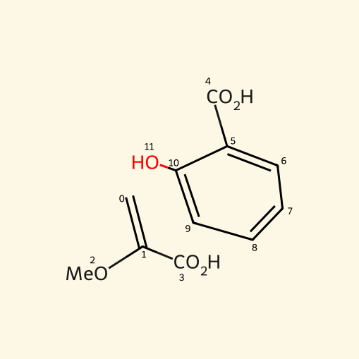 C=C(OC)C(=O)O.O=C(O)c1ccccc1O